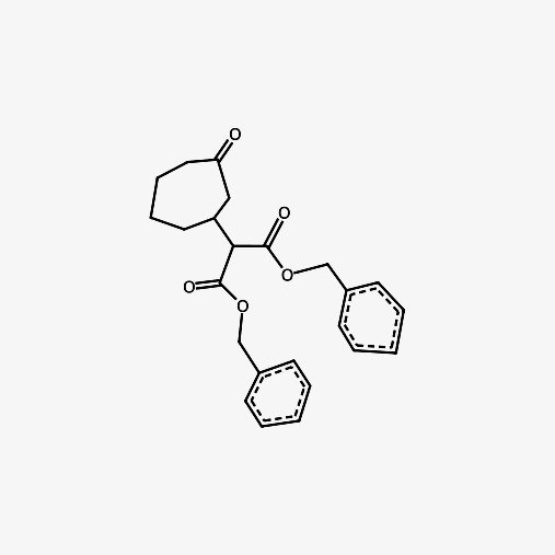 O=C1CCCCC(C(C(=O)OCc2ccccc2)C(=O)OCc2ccccc2)C1